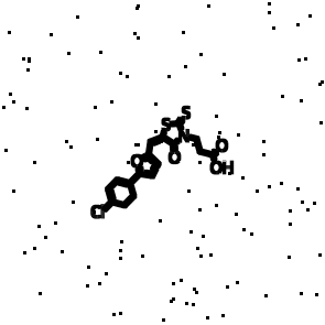 O=C(O)CCN1C(=O)/C(=C\c2ccc(C3=CC=C(Cl)CC3)o2)SC1=S